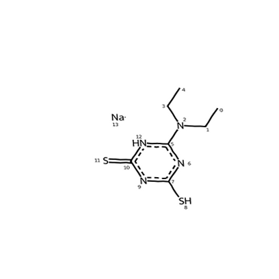 CCN(CC)c1nc(S)nc(=S)[nH]1.[Na]